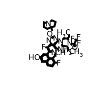 C#Cc1c(F)ccc2cc(O)cc(-c3nc(N)c4c(N5CC(CC)N(C(=O)C(F)(F)F)C(CC)C5)nc(OCC56CCCN5CCC6)nc4c3F)c12